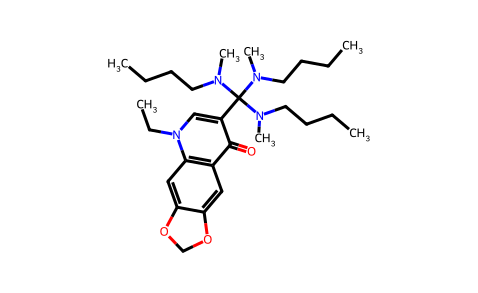 CCCCN(C)C(c1cn(CC)c2cc3c(cc2c1=O)OCO3)(N(C)CCCC)N(C)CCCC